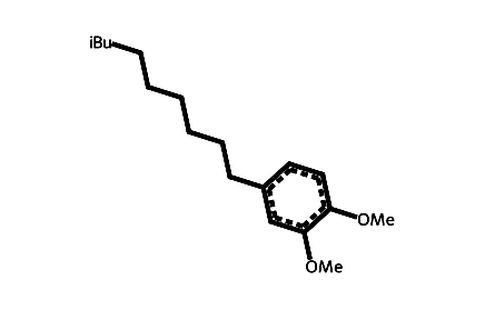 CCC(C)CCCCCCc1ccc(OC)c(OC)c1